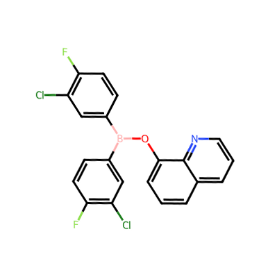 Fc1ccc(B(Oc2cccc3cccnc23)c2ccc(F)c(Cl)c2)cc1Cl